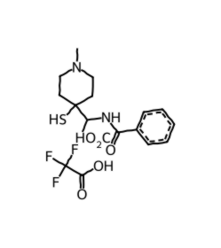 CN1CCC(S)(C(NC(=O)c2ccccc2)C(=O)O)CC1.O=C(O)C(F)(F)F